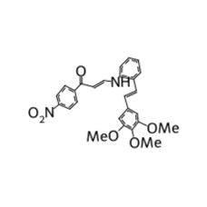 COc1cc(C=Cc2ccccc2NC=CC(=O)c2ccc([N+](=O)[O-])cc2)cc(OC)c1OC